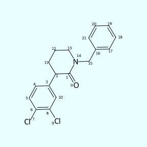 O=C1C(c2ccc(Cl)c(Cl)c2)CCCN1Cc1ccccc1